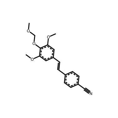 COCOc1c(OC)cc(C=Cc2ccc(C#N)cc2)cc1OC